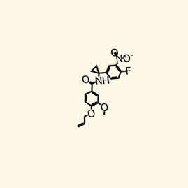 C=CCOc1ccc(C(=O)NC2(c3ccc(F)c([N+](=O)[O-])c3)CC2)cc1OC